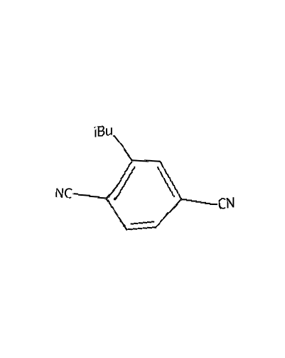 CCC(C)c1cc(C#N)ccc1C#N